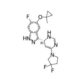 CC1(Oc2cc3c([C@H]4C=C(N5CCC(F)(F)C5)N=CN4)n[nH]c3cc2F)CC1